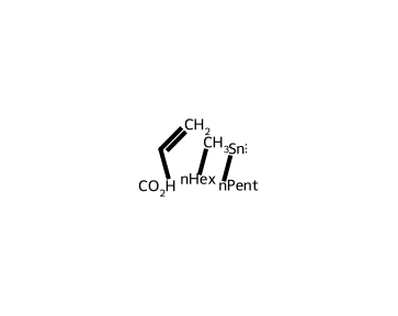 C=CC(=O)O.CCCCCCC.CCCC[CH2][Sn]